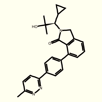 Cc1ccc(-c2ccc(-c3cccc4c3C(=O)N([C@H](C3CC3)C(C)(C)O)C4)cc2)nn1